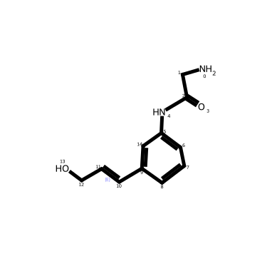 NCC(=O)Nc1cccc(/C=C/CO)c1